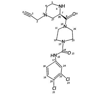 C#CCN1CCN[C@@H](C(=O)N2CCN(C(=O)Nc3ccc(Cl)c(Cl)c3)CC2)C1